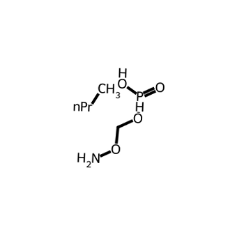 CCCC.NOCO[PH](=O)O